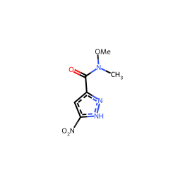 CON(C)C(=O)c1cc([N+](=O)[O-])[nH]n1